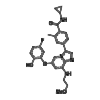 COCCNc1cc(Oc2cc(F)ccc2O)cn2c(-c3ccc(C(=O)NC4CC4)c(C)c3)cnc12